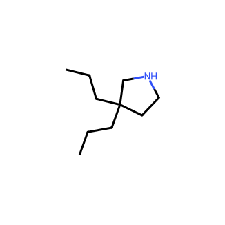 CCCC1(CCC)CCNC1